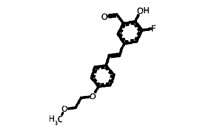 COCCOc1ccc(C=Cc2cc(F)c(O)c(C=O)c2)cc1